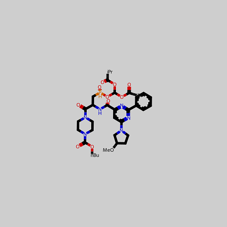 CCCCOC(=O)N1CCN(C(=O)C(C[PH](=O)OC(OC(=O)C(C)C)OC(=O)C(C)C)NC(=O)c2cc(N3CCC(OC)C3)nc(-c3ccccc3)n2)CC1